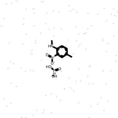 CNc1ccc(C)cc1[N+](=O)[O-].O=[PH](O)O